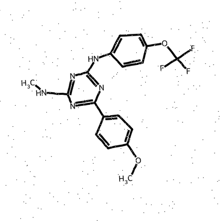 CNc1nc(Nc2ccc(OC(F)(F)F)cc2)nc(-c2ccc(OC)cc2)n1